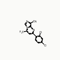 N#Cc1ncn2c(C(F)(F)F)cc(-c3ccc(Cl)cc3Cl)nc12